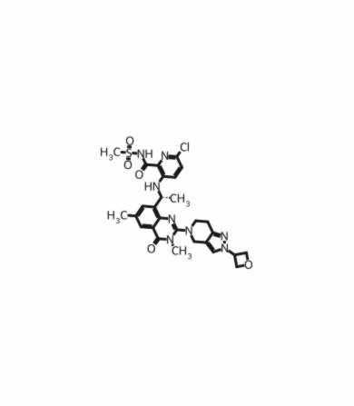 Cc1cc([C@@H](C)Nc2ccc(Cl)nc2C(=O)NS(C)(=O)=O)c2nc(N3CCc4nn(C5COC5)cc4C3)n(C)c(=O)c2c1